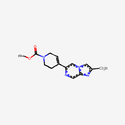 CCOC(=O)c1cn2cc(C3=CCN(C(=O)OC(C)(C)C)CC3)ncc2n1